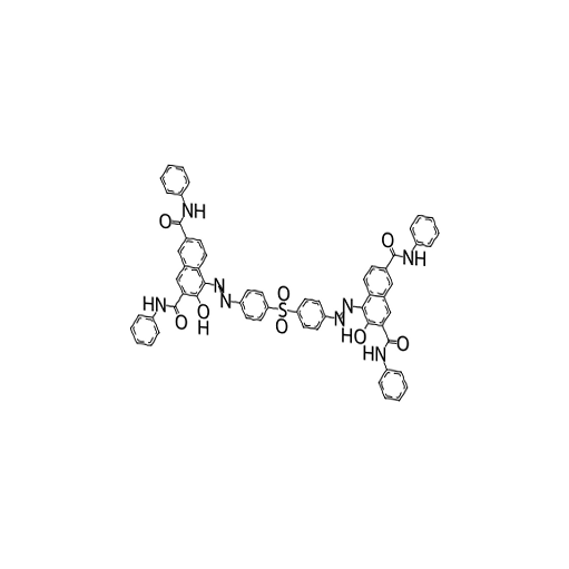 O=C(Nc1ccccc1)c1ccc2c(N=Nc3ccc(S(=O)(=O)c4ccc(N=Nc5c(O)c(C(=O)Nc6ccccc6)cc6cc(C(=O)Nc7ccccc7)ccc56)cc4)cc3)c(O)c(C(=O)Nc3ccccc3)cc2c1